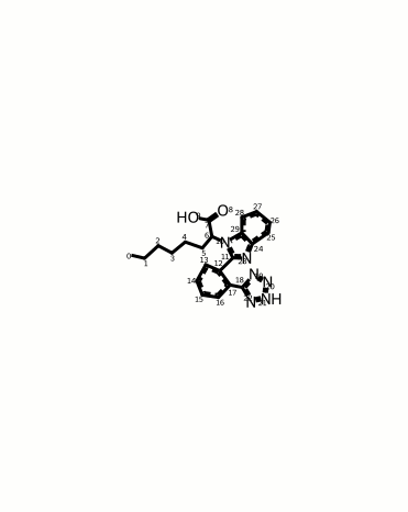 CCCCCCC(C(=O)O)n1c(-c2ccccc2-c2nn[nH]n2)nc2ccccc21